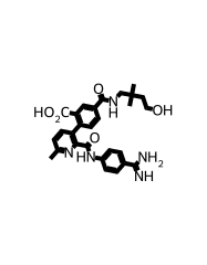 Cc1ccc(-c2ccc(C(=O)NCC(C)(C)CCO)cc2C(=O)O)c(C(=O)Nc2ccc(C(=N)N)cc2)n1